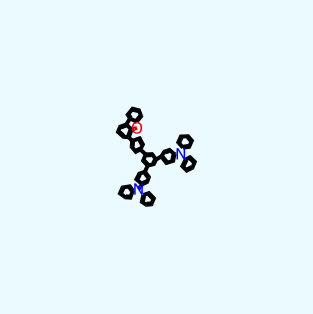 c1ccc(N(c2ccccc2)c2ccc(-c3cc(-c4ccc(-c5cccc6c5oc5ccccc56)cc4)cc(-c4ccc(N(c5ccccc5)c5ccccc5)cc4)c3)cc2)cc1